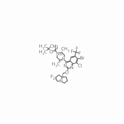 C[C@@H]1CN(c2nc(OC[C@@]34CCCN3C[C@H](F)C4)nc3c(Cl)c(Br)c(C(F)(F)F)cc23)[C@@H](C)CN1C(=O)OC(C)(C)C